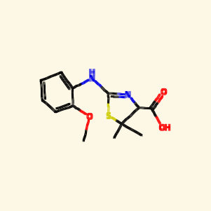 COc1ccccc1NC1=NC(C(=O)O)C(C)(C)S1